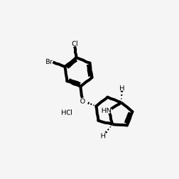 Cl.Clc1ccc(O[C@@H]2C[C@H]3C=C[C@@H](C2)N3)cc1Br